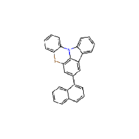 c1ccc2c(c1)Sc1cc(-c3cccc4ccccc34)cc3c4ccccc4n-2c13